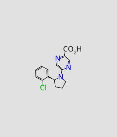 O=C(O)c1cnc(N2CCC[C@H]2c2ccccc2Cl)cn1